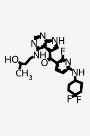 CC(O)CCNc1ncnc2[nH]cc(C(=O)c3ccc(NC4CCC(F)(F)CC4)nc3F)c12